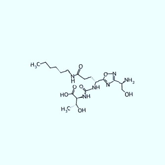 CCCCCCNC(=O)CC[C@@H](NC(=O)N[C@H](C(=O)O)[C@@H](C)O)c1nc([C@@H](N)CO)no1